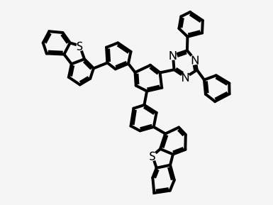 c1ccc(-c2nc(-c3ccccc3)nc(-c3cc(-c4cccc(-c5cccc6c5sc5ccccc56)c4)cc(-c4cccc(-c5cccc6c5sc5ccccc56)c4)c3)n2)cc1